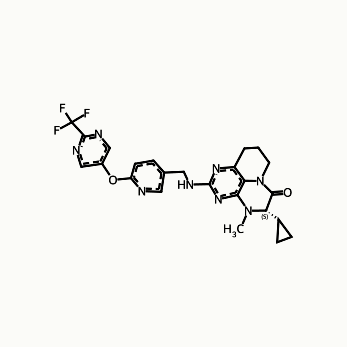 CN1c2nc(NCc3ccc(Oc4cnc(C(F)(F)F)nc4)nc3)nc3c2N(CCC3)C(=O)[C@@H]1C1CC1